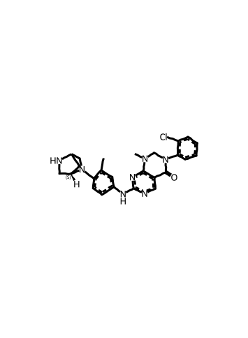 Cc1cc(Nc2ncc3c(n2)N(C)CN(c2ccccc2Cl)C3=O)ccc1N1CC2C[C@H]1CN2